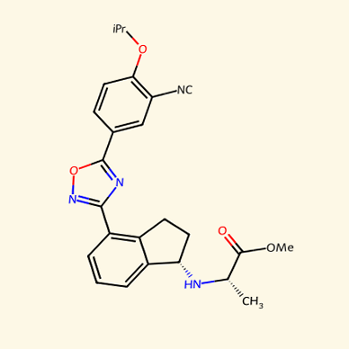 [C-]#[N+]c1cc(-c2nc(-c3cccc4c3CC[C@@H]4N[C@@H](C)C(=O)OC)no2)ccc1OC(C)C